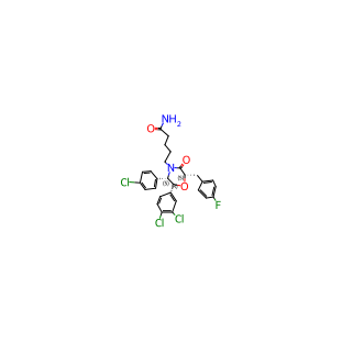 NC(=O)CCCCN1C(=O)[C@H](Cc2ccc(F)cc2)O[C@H](c2ccc(Cl)c(Cl)c2)[C@@H]1c1ccc(Cl)cc1